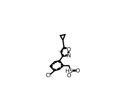 O=[SH](=O)Cc1cc(Cl)ccc1-c1[c]c(C2CC2)on1